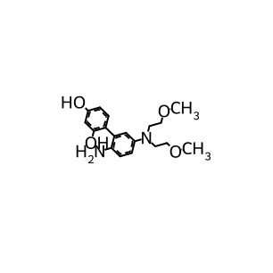 COCCN(CCOC)c1ccc(N)c(-c2ccc(O)cc2O)c1